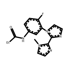 CCC(=O)Nc1ccc(F)c(-n2ccnc2-c2nccn2C)c1